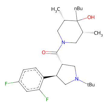 CCCCC1(O)[C@H](C)CN(C(=O)[C@@H]2CN(C(C)(C)C)C[C@H]2c2ccc(F)cc2F)C[C@@H]1C